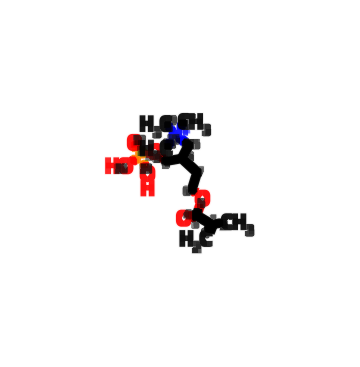 C=C(C)C(=O)OCCC(COP(=O)(O)O)C[N+](C)(C)C